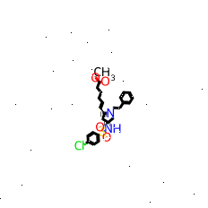 COC(=O)CCCC=C[C@@H]1C[C@@H](NS(=O)(=O)c2ccc(Cl)cc2)CN1CCc1ccccc1